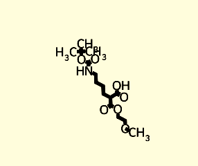 COCCOC(=O)C(CCCCNC(=O)OC(C)(C)C)C(=O)O